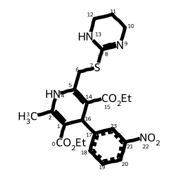 CCOC(=O)C1=C(C)NC(CSC2=NCCCN2)=C(C(=O)OCC)C1c1cccc([N+](=O)[O-])c1